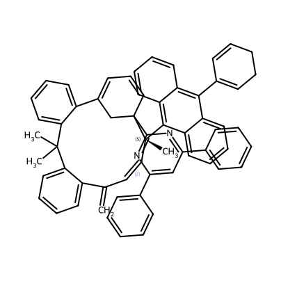 C=C1/C=C\[C@@](C)(c2c3ccccc3c(C3=CCCC=C3)c3ccccc23)C2(c3nc(-c4ccccc4)cc(-c4ccccc4)n3)C=CC=C(C2)c2ccccc2C(C)(C)c2ccccc21